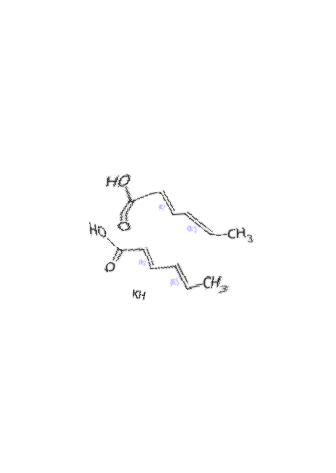 C/C=C/C=C/C(=O)O.C/C=C/C=C/C(=O)O.[KH]